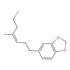 CC(=CCCc1ccc2c(c1)OCO2)CCI